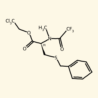 CN(C(=O)C(F)(F)F)[C@@H](CSCc1ccccc1)C(=O)OCC(Cl)(Cl)Cl